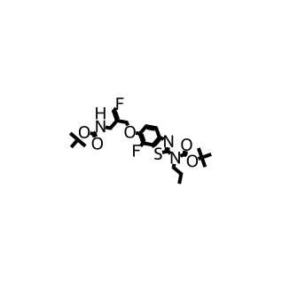 CCCN(C(=O)OC(C)(C)C)c1nc2ccc(OC/C(=C\F)CNC(=O)OC(C)(C)C)c(F)c2s1